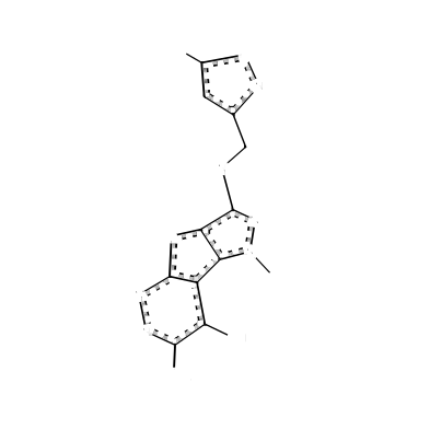 Cc1cc(CNc2nn(C)c3c2sc2nnc(C)c(C)c23)no1